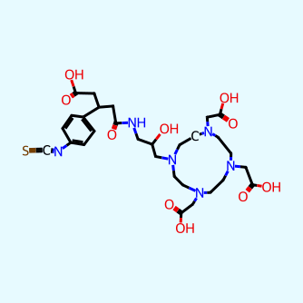 O=C(O)CC(CC(=O)NCC(O)CN1CCN(CC(=O)O)CCN(CC(=O)O)CCN(CC(=O)O)CC1)c1ccc(N=C=S)cc1